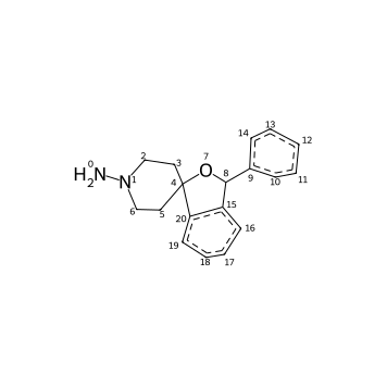 NN1CCC2(CC1)OC(c1ccccc1)c1ccccc12